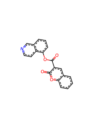 O=C(Oc1cccc2cnccc12)c1cc2ccccc2oc1=O